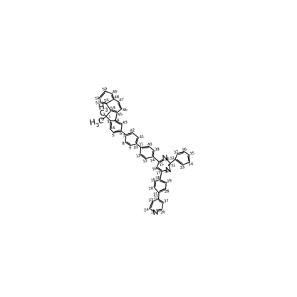 CC1(C)c2ccc(-c3ccc(-c4ccc(-c5cc(-c6ccc(-c7ccncc7)cc6)nc(-c6ccccc6)n5)cc4)cc3)cc2-c2ccc3ccccc3c21